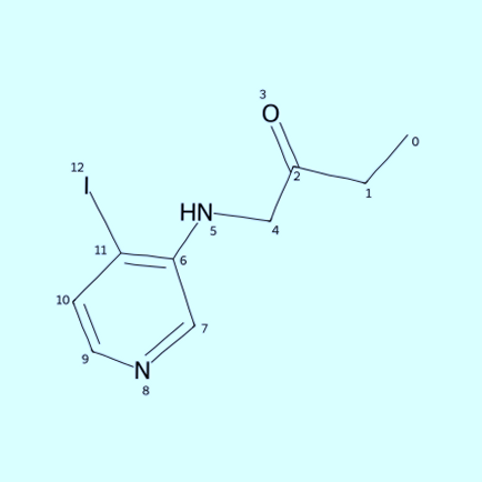 CCC(=O)CNc1cnccc1I